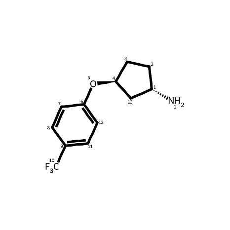 N[C@H]1CC[C@H](Oc2ccc(C(F)(F)F)cc2)C1